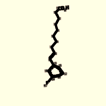 O=C(O)CCCCCCCC=Cc1cccc(F)c1